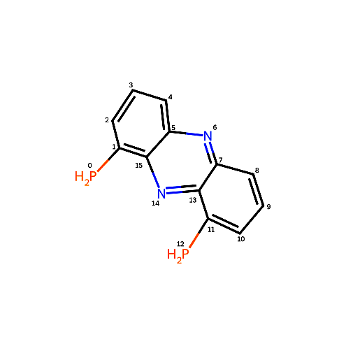 Pc1cccc2nc3cccc(P)c3nc12